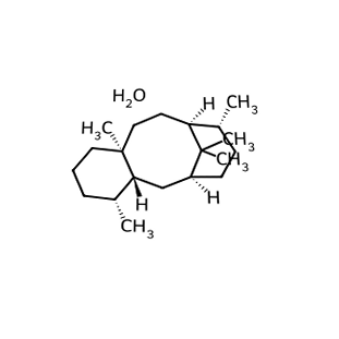 C[C@@H]1CCC[C@@]2(C)CC[C@H]3[C@H](C)CC[C@@H](C[C@H]12)C3(C)C.O